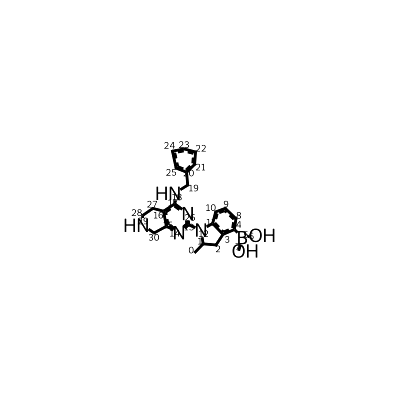 CC1Cc2c(B(O)O)cccc2N1c1nc2c(c(NCc3ccccc3)n1)CCNC2